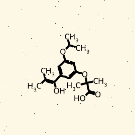 CC(C)=C(O)c1cc(OC(C)C)cc(OC(C)(C)C(=O)O)c1